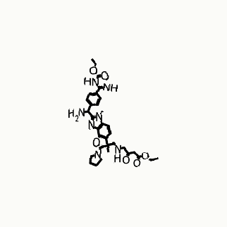 CCOC(=O)CC(=O)CNCC(C)(C(=O)N1CCCC1)c1ccc2c(c1)nc(C(N)c1ccc(C(=N)NC(=O)OCC)cc1)n2C